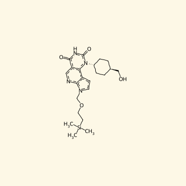 C[Si](C)(C)CCOCn1ccc2c1ncc1c(=O)[nH]c(=O)n([C@H]3CC[C@H](CO)CC3)c12